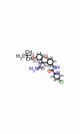 CC(C)(C)COc1ccc2c(c1)C1(COC(N)=N1)c1cc(NC(=O)c3ccc(Cl)cn3)ccc1O2